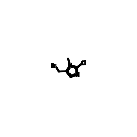 Cn1c(CBr)cnc1Cl